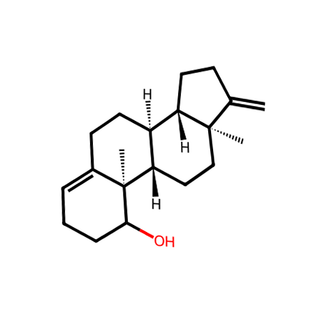 C=C1CC[C@H]2[C@@H]3CCC4=CCCC(O)[C@]4(C)[C@H]3CC[C@]12C